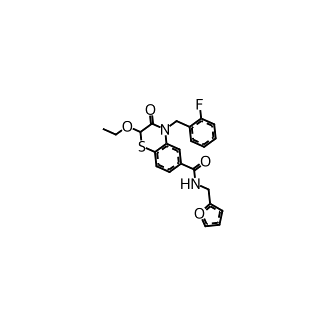 CCOC1Sc2ccc(C(=O)NCc3ccco3)cc2N(Cc2ccccc2F)C1=O